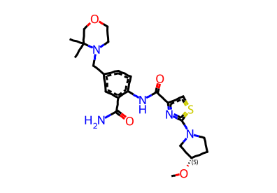 CO[C@H]1CCN(c2nc(C(=O)Nc3ccc(CN4CCOCC4(C)C)cc3C(N)=O)cs2)C1